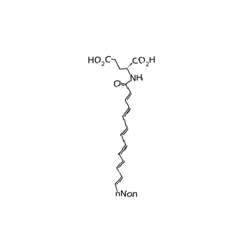 CCCCCCCCCC=CC=CC=CC=CC=CC=CC(=O)N[C@@H](CCC(=O)O)C(=O)O